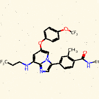 CCNC(=O)c1ccc(-c2cnc3c(NCCC(F)(F)F)cc(Oc4ccc(OC(F)(F)F)cc4)cn23)cc1C